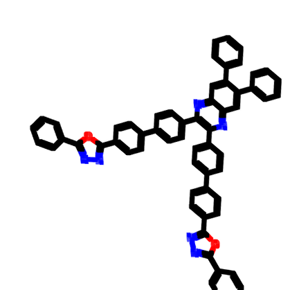 c1ccc(-c2nnc(-c3ccc(-c4ccc(-c5nc6cc(-c7ccccc7)c(-c7ccccc7)cc6nc5-c5ccc(-c6ccc(-c7nnc(-c8ccccc8)o7)cc6)cc5)cc4)cc3)o2)cc1